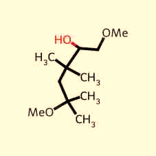 COCC(O)C(C)(C)CC(C)(C)OC